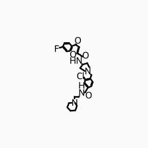 O=C(NCCN1CCCCC1)c1ccc(CN2CCC(NC(=O)c3cc(=O)c4ccc(F)cc4o3)CC2)c(Cl)c1